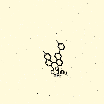 CCCCOc1ccc2cc(-c3cccc(C)c3)ccc2c1-c1c(COCCC)ccc2cc(C)ccc12